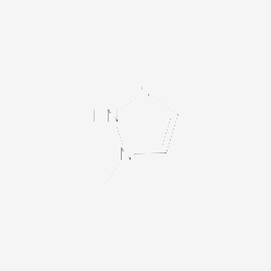 CN1C=CSN1